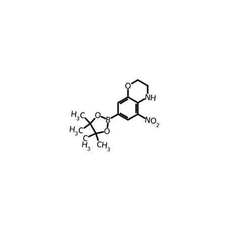 CC1(C)OB(c2cc3c(c([N+](=O)[O-])c2)NCCO3)OC1(C)C